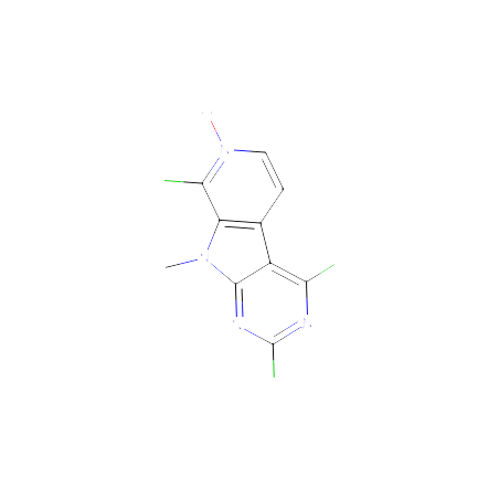 Cn1c2nc(Cl)nc(Cl)c2c2cc[n+]([O-])c(Cl)c21